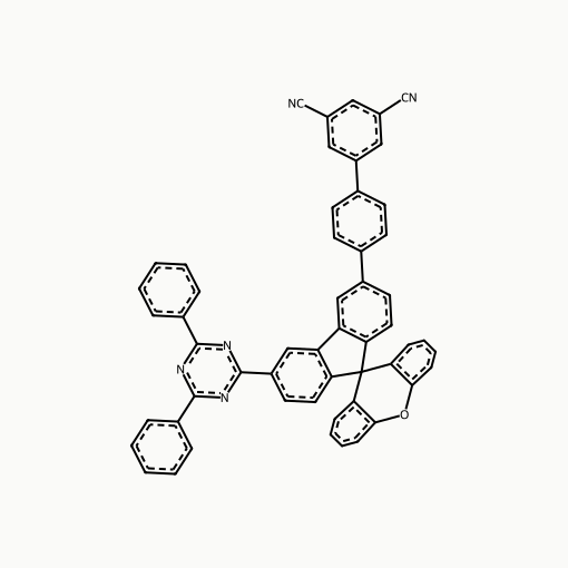 N#Cc1cc(C#N)cc(-c2ccc(-c3ccc4c(c3)-c3cc(-c5nc(-c6ccccc6)nc(-c6ccccc6)n5)ccc3C43c4ccccc4Oc4ccccc43)cc2)c1